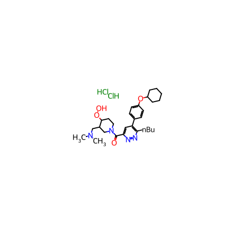 CCCCc1nnc(C(=O)N2CCC(OO)C(CN(C)C)C2)cc1-c1ccc(OC2CCCCC2)cc1.Cl.Cl